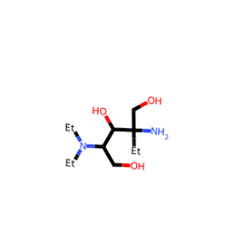 CCN(CC)C(CO)C(O)C(N)(CC)CO